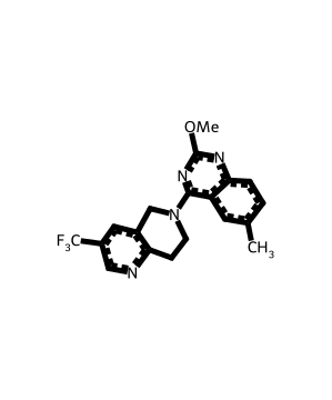 COc1nc(N2CCc3ncc(C(F)(F)F)cc3C2)c2cc(C)ccc2n1